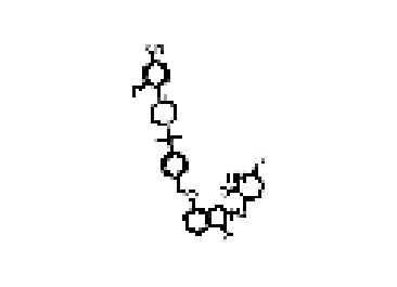 CC(C)(c1ccc(COc2cccc3c2CN(OC2CCC(=O)NC2=O)C3=O)cc1)N1CCN(c2ccc(C#N)cc2F)CC1